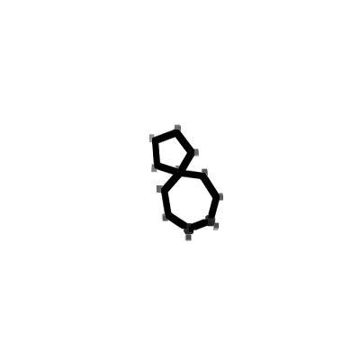 C1CCC2(C1)CCOOCC2